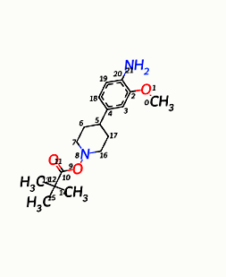 COc1cc(C2CCN(OC(=O)C(C)(C)C)CC2)ccc1N